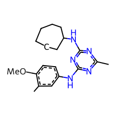 COc1ccc(Nc2nc(C)nc(NC3CCCCCC3)n2)cc1C